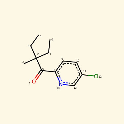 CCC(C)(CC)C(=O)c1ccc(Cl)cn1